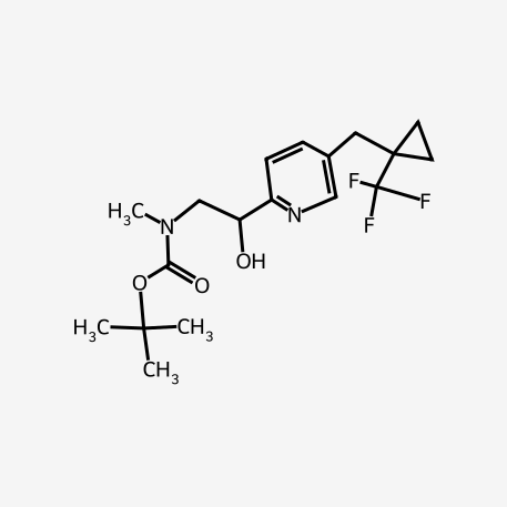 CN(CC(O)c1ccc(CC2(C(F)(F)F)CC2)cn1)C(=O)OC(C)(C)C